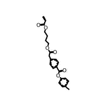 C=CC(=O)OCCCCOC(=O)Cc1ccc(C(=O)Oc2ccc(C)cc2)cc1